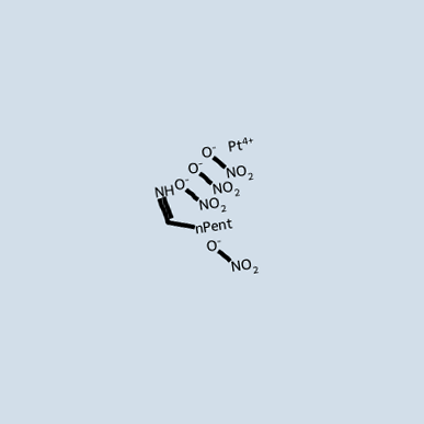 CCCCCC=N.O=[N+]([O-])[O-].O=[N+]([O-])[O-].O=[N+]([O-])[O-].O=[N+]([O-])[O-].[Pt+4]